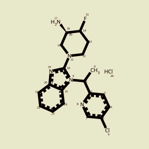 CC(c1ccc(Cl)cn1)n1c(N2CCC(F)[C@H](N)C2)nc2ccccc21.Cl